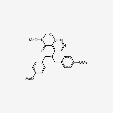 COc1ccc(CN(Cc2ccc(OC)cc2)c2cnnc(Cl)c2C(=O)N(C)OC)cc1